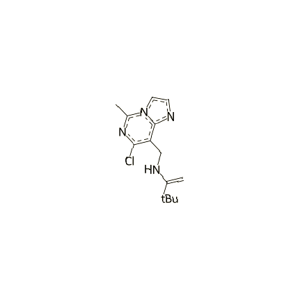 C=C(NCc1c(Cl)nc(C)n2ccnc12)C(C)(C)C